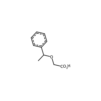 CC(OCC(=O)O)c1ccccc1